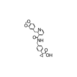 O=C(NCc1ccc(C2(C(=O)O)CC2)cc1)c1cccnc1Cc1ccc2c(c1)OCO2